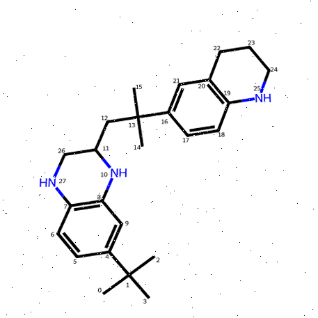 CC(C)(C)c1ccc2c(c1)NC(CC(C)(C)c1ccc3c(c1)CCCN3)CN2